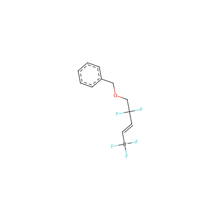 F[B-](F)(F)/C=C/C(F)(F)COCc1ccccc1